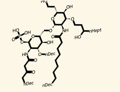 CCCCCCCCCCCCCCCCCC(=O)N[C@H]1[C@H](OC[C@H]2O[C@H](OP(=O)(O)O)[C@H](NC(=O)CC(=O)CCCCCCCCCCC)[C@@H](OCCCCCCCCCC)[C@@H]2O)O[C@H](CCO)[C@@H](O)[C@@H]1OCCC(O)CCCCCCC